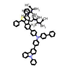 B/C(C#C)=C(B)/C(B)=C(/B)CC1(C/C(B)=C(B)\C(B)=C(\B)C#C)c2cc(-c3ccc(N(c4ccc(-c5ccccc5)cc4)c4ccc(-c5ccc6c(c5)c5ccccc5n6-c5ccccc5)cc4)cc3)ccc2-c2c(-c3ccccc3)sc(-c3ccccc3)c21